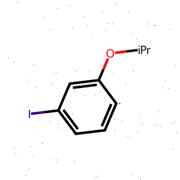 CC(C)Oc1[c]ccc(I)c1